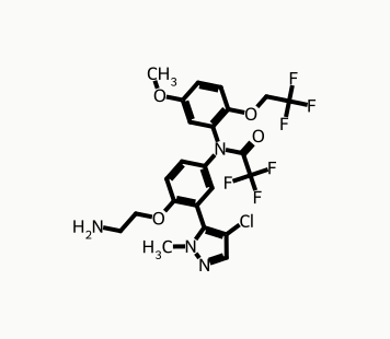 COc1ccc(OCC(F)(F)F)c(N(C(=O)C(F)(F)F)c2ccc(OCCN)c(-c3c(Cl)cnn3C)c2)c1